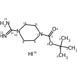 CC(C)(C)OC(=O)N1CCN(C(=N)N)CC1.I